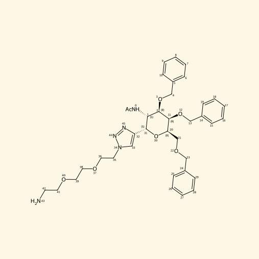 CC(=O)N[C@@H]1[C@@H](OCc2ccccc2)[C@@H](OCc2ccccc2)[C@@H](COCc2ccccc2)O[C@@H]1c1cn(CCOCCOCCN)nn1